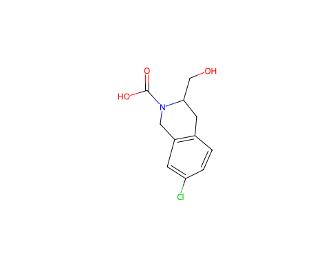 O=C(O)N1Cc2cc(Cl)ccc2CC1CO